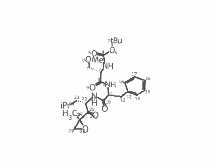 COC[C@H](NC(=O)OC(C)(C)C)C(=O)N[C@@H](Cc1ccccc1)C(=O)N[C@@H](CC(C)C)C(=O)[C@@]1(C)CO1